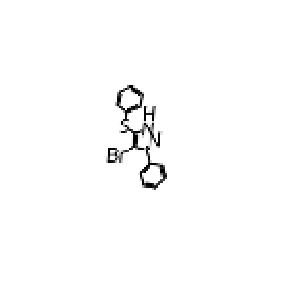 Brc1c(-c2ccccc2)n[nH]c1Sc1ccccc1